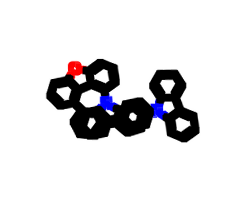 c1ccc(-c2cccc(-c3cccc4oc5cccc(-n6c7ccccc7c7ccc(-n8c9ccccc9c9ccccc98)cc76)c5c34)c2)cc1